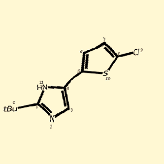 CC(C)(C)c1ncc(-c2ccc(Cl)s2)[nH]1